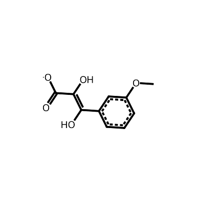 COc1cccc(C(O)=C(O)C([O])=O)c1